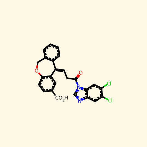 O=C(O)c1ccc2c(c1)C(=CCC(=O)n1cnc3cc(Cl)c(Cl)cc31)c1ccccc1CO2